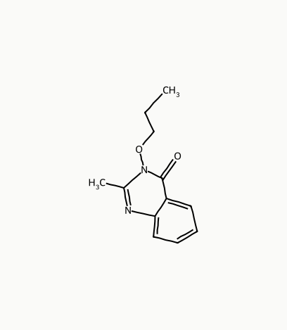 CCCOn1c(C)nc2ccccc2c1=O